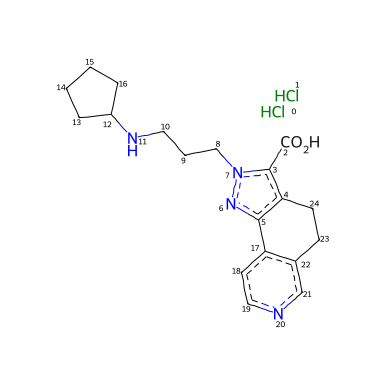 Cl.Cl.O=C(O)c1c2c(nn1CCCNC1CCCC1)-c1ccncc1CC2